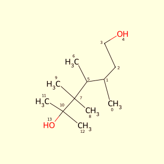 CC(CCO)C(C)C(C)(C)C(C)(C)O